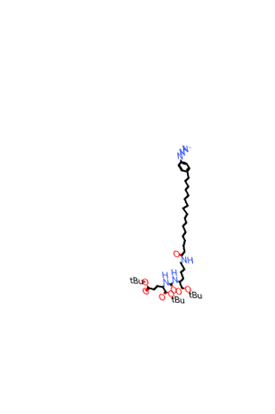 CC(C)(C)OC(=O)CCC(NC(=O)NC(CCCCNC(=O)CCCCCCCCCCCCCCCCCc1ccc(N=[N+]=[N-])cc1)C(=O)OC(C)(C)C)C(=O)OC(C)(C)C